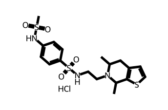 CC1Cc2ccsc2C(C)N1CCNS(=O)(=O)c1ccc(NS(C)(=O)=O)cc1.Cl